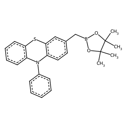 CC1(C)OB(Cc2ccc3c(c2)Sc2ccccc2N3c2ccccc2)OC1(C)C